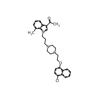 CC(=O)c1cn(CCCN2CCN(CCOc3ccc(Cl)c4ccccc34)CC2)c2c(C)cccc12